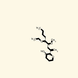 C=C(C[C@@H](OC)[C@@H](CCCC)OCC)[C@@H]1OCCC[C@H]1O